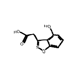 O=C(O)Cc1noc2cccc(O)c12